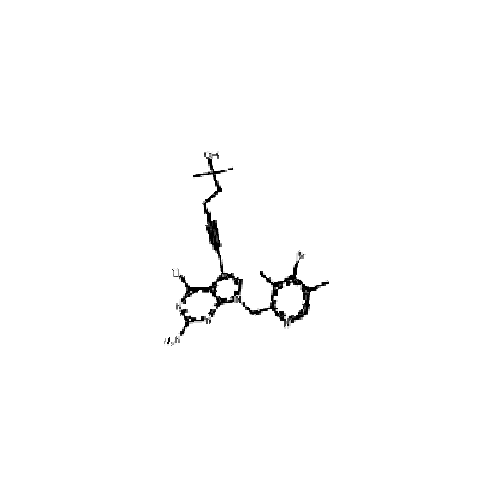 Cc1cnc(Cn2cc(C#CCCC(C)(C)O)c3c(Cl)nc(N)nc32)c(C)c1Br